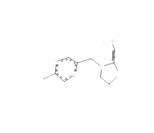 Cc1cnc(CN2CCS/C2=C/[N+](=O)[O-])cn1